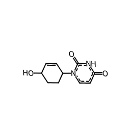 O=c1ccn(C2C=CC(O)CC2)c(=O)[nH]1